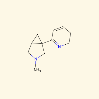 CN1CC2CC2(C2=NCCC=C2)C1